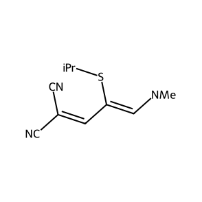 CN/C=C(/C=C(C#N)C#N)SC(C)C